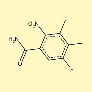 Cc1c(F)cc(C(N)=O)c([N+](=O)[O-])c1C